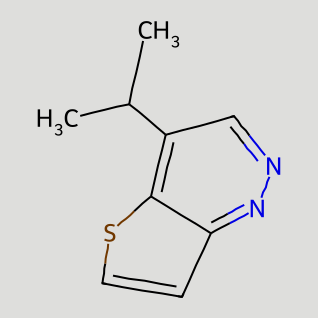 CC(C)c1cnnc2ccsc12